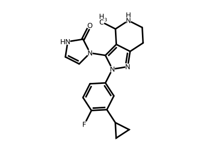 CC1NCCc2nn(-c3ccc(F)c(C4CC4)c3)c(-n3cc[nH]c3=O)c21